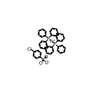 O=S(=O)([O-])c1ccc(Cl)cc1.c1ccc(P(=[N+]=P(c2ccccc2)(c2ccccc2)c2ccccc2)(c2ccccc2)c2ccccc2)cc1